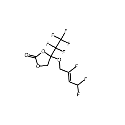 O=C1OCC(OCC(F)=CC(F)F)(C(F)(F)C(F)(F)F)O1